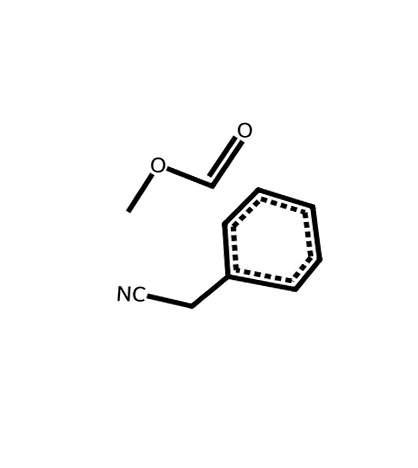 COC=O.N#CCc1ccccc1